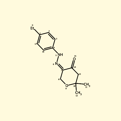 CCc1ccc(NN=C2COC(C)(C)CC2=O)cc1